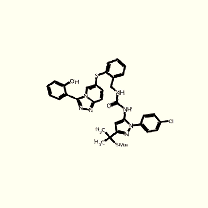 CSC(C)(C)c1cc(NC(=O)NCc2ccccc2Sc2ccc3nnc(-c4ccccc4O)n3c2)n(-c2ccc(Cl)cc2)n1